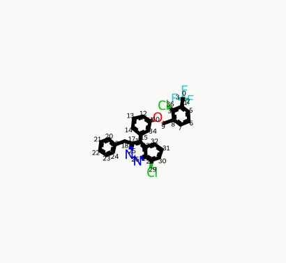 FC(F)(F)c1cccc(COc2cccc(-c3c(Cc4ccccc4)nnc4c(Cl)cccc34)c2)c1Cl